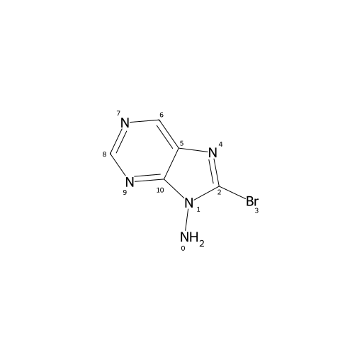 Nn1c(Br)nc2cncnc21